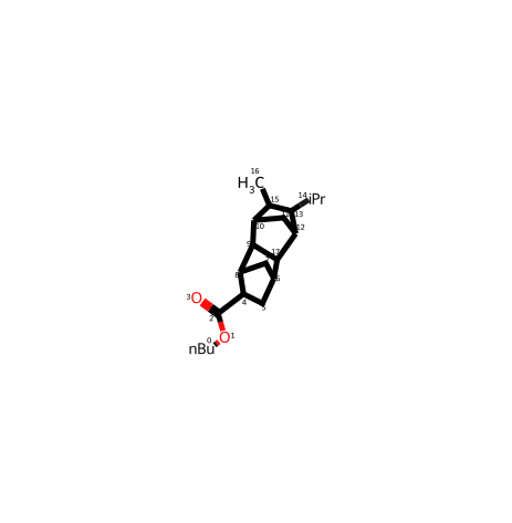 CCCCOC(=O)C1CC2CC1C1C3CC(C(C(C)C)C3C)C21